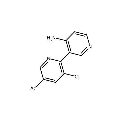 CC(=O)c1cnc(-c2cnccc2N)c(Cl)c1